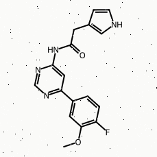 COc1cc(-c2cc(NC(=O)Cc3cc[nH]c3)ncn2)ccc1F